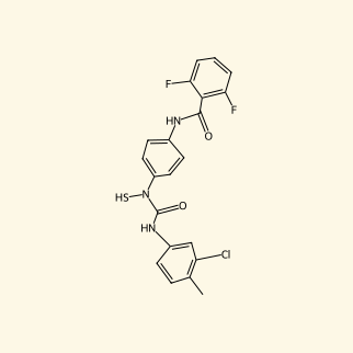 Cc1ccc(NC(=O)N(S)c2ccc(NC(=O)c3c(F)cccc3F)cc2)cc1Cl